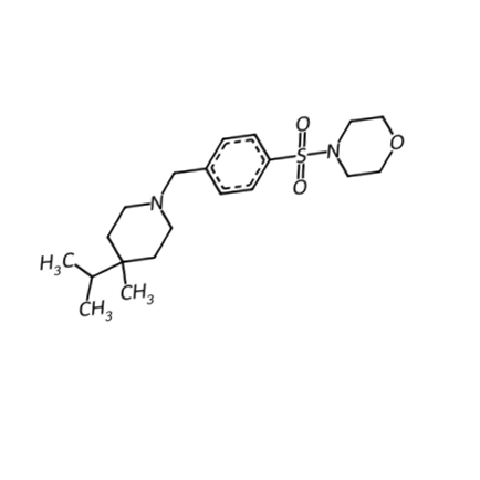 CC(C)C1(C)CCN(Cc2ccc(S(=O)(=O)N3CCOCC3)cc2)CC1